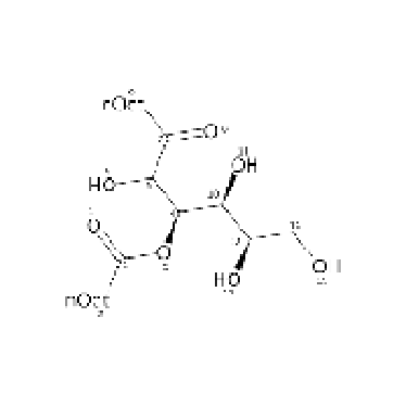 CCCCCCCCC(=O)O[C@@H](C(O)C(=O)CCCCCCCC)[C@@H](O)[C@H](O)CO